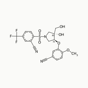 COc1ccc(C#N)cc1O[C@H]1CN(S(=O)(=O)c2ccc(C(F)(F)F)cc2C#N)C[C@@]1(O)CO